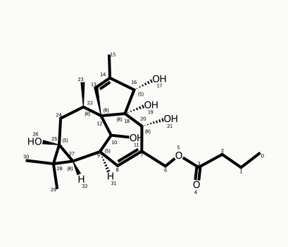 CCCC(=O)OCC1=C[C@@H]2C(O)[C@]3(C=C(C)[C@H](O)[C@@]3(O)[C@@H]1O)[C@H](C)C[C@]1(O)[C@H]2C1(C)C